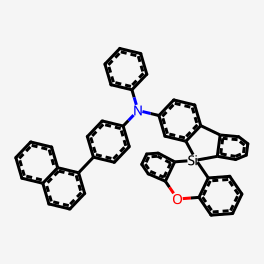 c1ccc(N(c2ccc(-c3cccc4ccccc34)cc2)c2ccc3c(c2)[Si]2(c4ccccc4Oc4ccccc42)c2ccccc2-3)cc1